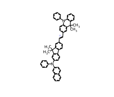 CC1(C)c2cc(/C=C/c3ccc4c(c3)C(C)(C)c3ccccc3N4c3ccccc3)ccc2-c2ccc(N(c3ccccc3)c3ccc4ccccc4c3)cc21